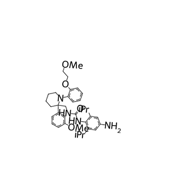 COCCOc1ccccc1N1CCCCC1(CNC(=O)Nc1c(C(C)C)cc(N)cc1C(C)C)c1cccc(OC)c1